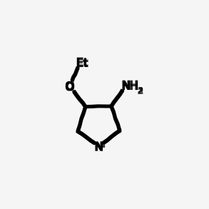 CCOC1C[N]CC1N